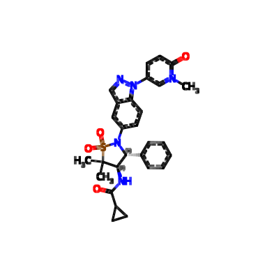 Cn1cc(-n2ncc3cc(N4[C@H](c5ccccc5)[C@@H](NC(=O)C5CC5)C(C)(C)S4(=O)=O)ccc32)ccc1=O